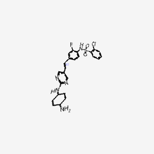 NC1CCC(Nc2ncc(/C=C/c3ccc(NS(=O)(=O)c4ccccc4Cl)c(F)c3)cn2)CC1